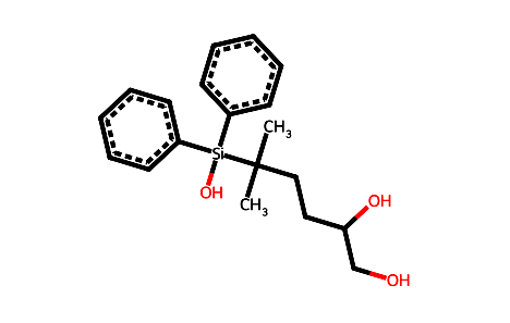 CC(C)(CCC(O)CO)[Si](O)(c1ccccc1)c1ccccc1